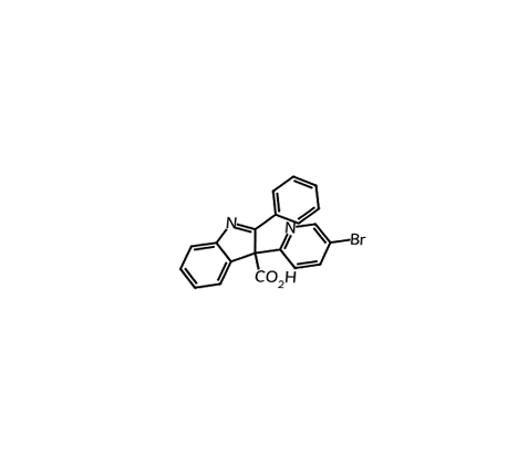 O=C(O)C1(c2ccc(Br)cn2)C(c2ccccc2)=Nc2ccccc21